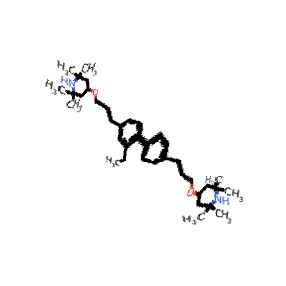 CCc1cc(CCCOC2CC(C)(C)NC(C)(C)C2)ccc1-c1ccc(CCCOC2CC(C)(C)NC(C)(C)C2)cc1